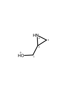 OCC1CN1